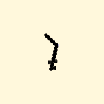 CCCCCCCC/C=C\CCCCCCCC(=O)NCCNC